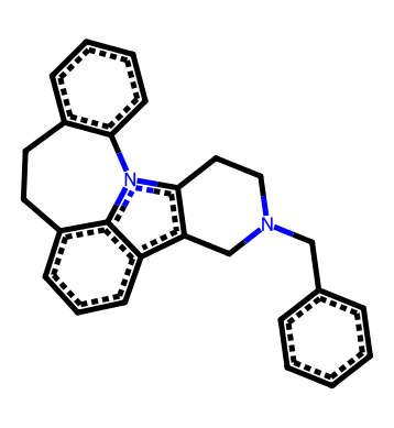 c1ccc(CN2CCc3c(c4cccc5c4n3-c3ccccc3CC5)C2)cc1